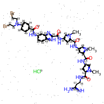 Cl.Cn1cc(NC(=O)c2cc(NC(=O)c3cc(NC(=O)c4nc5cc(NC(=O)c6ccc(N(CCBr)CCBr)cc6)ccc5[nH]4)cn3C)cn2C)cc1C(=O)NCCC(=N)N